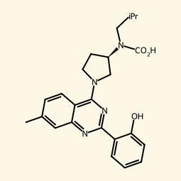 Cc1ccc2c(N3CC[C@@H](N(CC(C)C)C(=O)O)C3)nc(-c3ccccc3O)nc2c1